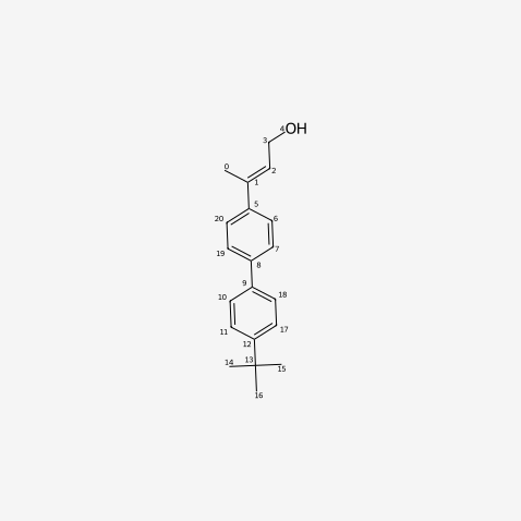 C/C(=C\CO)c1ccc(-c2ccc(C(C)(C)C)cc2)cc1